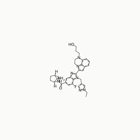 CCn1cc(Cn2c(-c3cc4cccc5c4n3CCN5CCCO)nc3cc(C(=O)N4C[C@H]5CC[C@@H]4[C@@H]5N)cc(F)c32)cn1